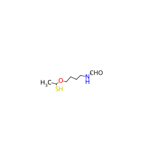 CC(S)OCCCCNC=O